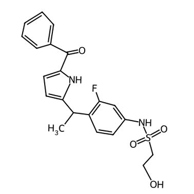 CC(c1ccc(C(=O)c2ccccc2)[nH]1)c1ccc(NS(=O)(=O)CCO)cc1F